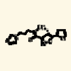 CN(CCCn1ccnc1)C(=O)c1cc(-c2ccco2)on1